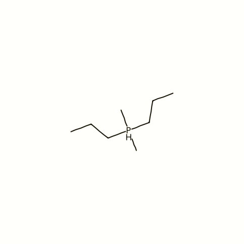 CCC[PH](C)(C)CCC